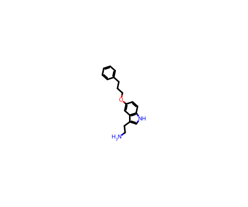 NCCc1c[nH]c2ccc(OCCCc3ccccc3)cc12